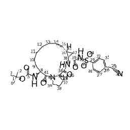 CC(C)(C)OC(=O)N[C@H]1CCCCC/C=C\[C@@H]2C[C@@]2(C(=O)NS(=O)(=O)c2ccc(C#N)cc2)NC(=O)[C@@H]2CCCN2C1=O